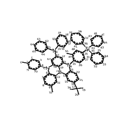 Cc1ccc(N2c3ccc(C)cc3B3c4cc(C(C)(C)C)ccc4N(c4ccc([Si](c5ccccc5)(c5ccccc5)c5ccccc5)cc4C)c4cc(N(c5ccccc5)c5ccccc5)cc2c43)cc1